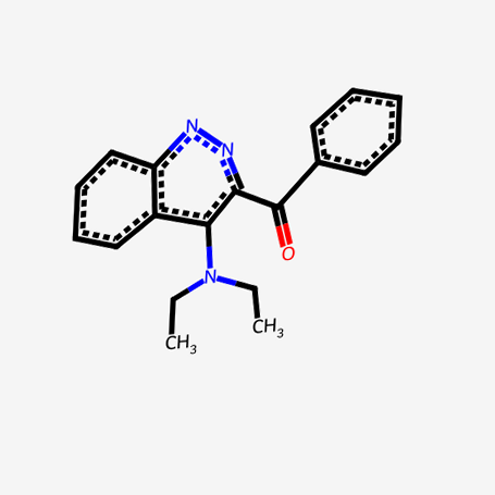 CCN(CC)c1c(C(=O)c2ccccc2)nnc2ccccc12